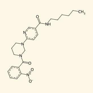 CCCCCCNC(=O)c1ccc(N2CCCN(C(=O)c3ccccc3[N+](=O)[O-])C2)nc1